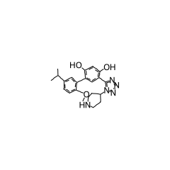 COc1ccc(C(C)C)cc1-c1cc(-c2nnnn2C2CCNCC2)c(O)cc1O